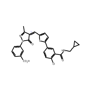 CC1=NN(c2cccc(C(=O)O)c2)C(=O)/C1=C\c1ccc(-c2ccc(Cl)c(C(=O)NCC3CC3)c2)s1